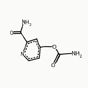 NC(=O)Oc1ccnc(C(N)=O)c1